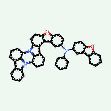 c1ccc(N(c2ccc3oc4ccccc4c3c2)c2ccc3oc4ccc5c(c6cccc7c6n5c5cccc6c8ccccc8n7c65)c4c3c2)cc1